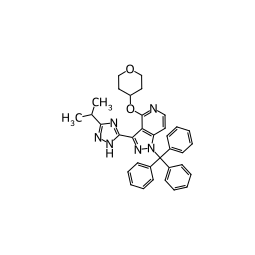 CC(C)c1n[nH]c(-c2nn(C(c3ccccc3)(c3ccccc3)c3ccccc3)c3ccnc(OC4CCOCC4)c23)n1